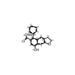 COC(=O)c1cc(O)c2cc3c(cc2c1-c1ccccc1)CCO3